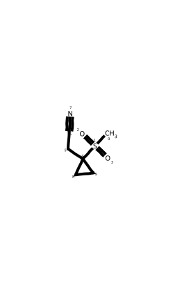 CS(=O)(=O)C1(CC#N)CC1